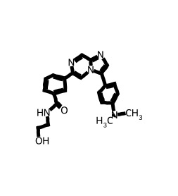 CN(C)c1ccc(-c2cnc3cnc(-c4cccc(C(=O)NCCO)c4)cn23)cc1